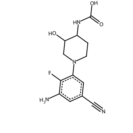 N#Cc1cc(N)c(F)c(N2CCC(NC(=O)O)C(O)C2)c1